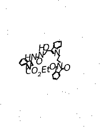 CCOC(=O)n1cc(NC(=O)NCC(=O)c2cn(CCCN3C(=O)c4ccccc4C3=O)c3ccccc23)c2ccccc21